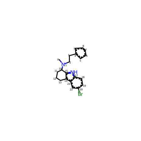 CN(CCc1ccccc1)C1CCCc2c1[nH]c1ccc(Br)cc21